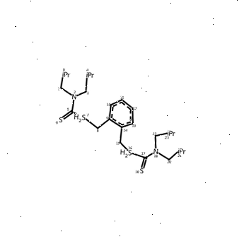 CC(C)CN(CC(C)C)C(=S)[SH2]Cc1ccccc1C[SH2]C(=S)N(CC(C)C)CC(C)C